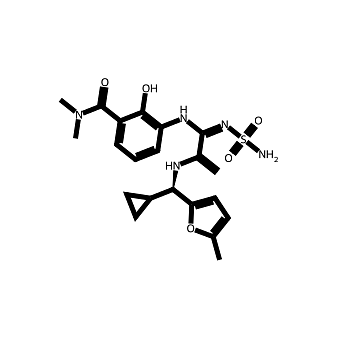 C=C(N[C@@H](c1ccc(C)o1)C1CC1)/C(=N\S(N)(=O)=O)Nc1cccc(C(=O)N(C)C)c1O